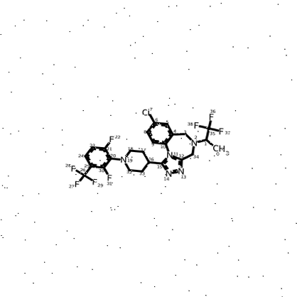 CC(N1Cc2cc(Cl)ccc2-n2c(nnc2C2CCN(c3c(F)ccc(C(F)(F)F)c3F)CC2)C1)C(F)(F)F